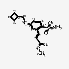 COC(=O)CCc1cc(OCC2CCC2)ccc1S(N)(=O)=O